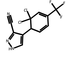 N#Cc1n[nH]cc1C1C=CC(C(F)(F)F)=CC1(Cl)Cl